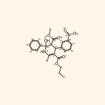 CCCOC(=O)C1=C(C)NC(O)(c2ccccc2)C(C(=O)OC)C1c1cccc([N+](=O)[O-])c1